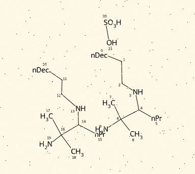 CCCCCCCCCCCCNC(CCC)C(C)(C)N.CCCCCCCCCCCCNC(CCC)C(C)(C)N.O=S(=O)(O)O